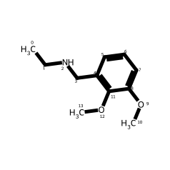 CCNCc1cccc(OC)c1OC